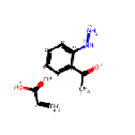 C=CC(=O)O.CC(=O)c1ccccc1NN